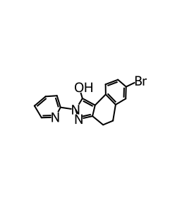 Oc1c2c(nn1-c1ccccn1)CCc1cc(Br)ccc1-2